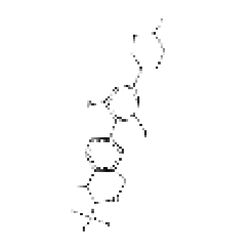 CCC1CCC(c2cc(F)c(-c3ccc4c(c3)COC(C(F)(F)F)C4C)c(F)c2)CC1